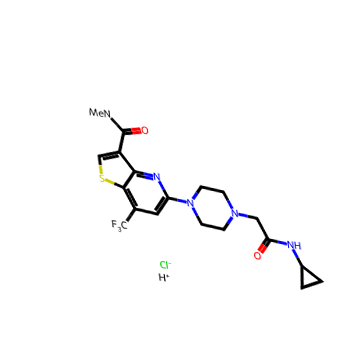 CNC(=O)c1csc2c(C(F)(F)F)cc(N3CCN(CC(=O)NC4CC4)CC3)nc12.[Cl-].[H+]